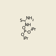 CC(C)OP(ONC(N)=S)OC(C)C